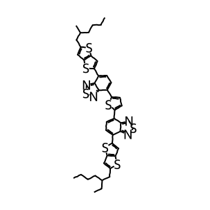 CCCCC(C)Cc1cc2sc(-c3ccc(-c4ccc(-c5ccc(-c6cc7sc(CC(CC)CCCC)cc7s6)c6nsnc56)s4)c4nsnc34)cc2s1